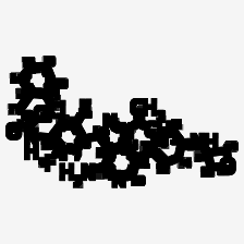 CC(C)n1nc(-c2cc(F)c(NS(=O)(=O)Cc3ccccc3Cl)cc2F)c2c(N)ncc(C3=CCC(NC4COC4)CC3)c21